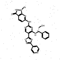 CC(C)n1[nH]c(=O)c2ccc(Nc3ncc(-c4nc(-c5ccncc5)no4)c(N[C@H](CO)c4ccccc4)n3)nc21